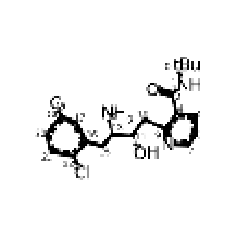 CC(C)(C)NC(=O)c1cccnc1C[C@H](O)[C@H](N)Cc1cc(Cl)ccc1Cl